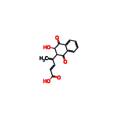 C=C(C=CC(=O)O)C1C(=O)c2ccccc2C(=O)C1O